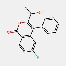 CC(Br)c1oc(=O)c2ccc(F)cc2c1-c1ccccc1